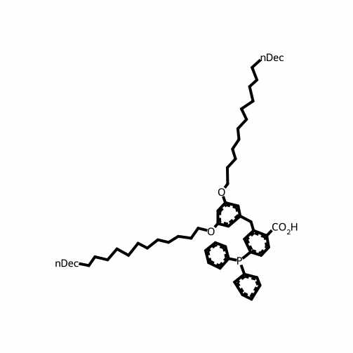 CCCCCCCCCCCCCCCCCCCCCCOc1cc(Cc2cc(P(c3ccccc3)c3ccccc3)ccc2C(=O)O)cc(OCCCCCCCCCCCCCCCCCCCCCC)c1